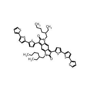 CCCCC(CC)CN1C(=O)C(c2ccc(-c3ccc(-c4cccs4)s3)s2)=c2cc3c(cc21)=C(c1ccc(-c2ccc(-c4cccs4)s2)s1)C(=O)N3CC(CC)CCCC